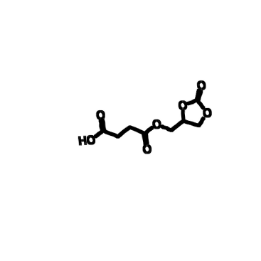 O=C(O)CCC(=O)OCC1COC(=O)O1